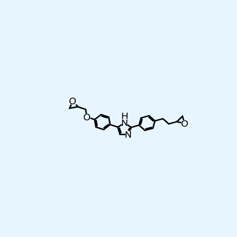 c1cc(-c2ncc(-c3ccc(OCC4CO4)cc3)[nH]2)ccc1CCC1CO1